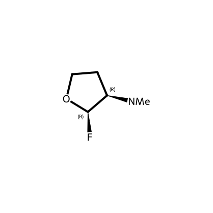 CN[C@@H]1CCO[C@@H]1F